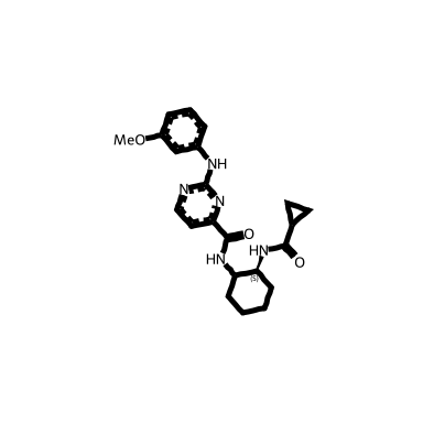 COc1cccc(Nc2nccc(C(=O)NC3CCCC[C@@H]3NC(=O)C3CC3)n2)c1